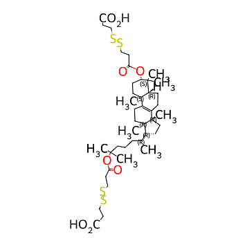 C[C@H](CCCC(C)(C)OC(=O)CCSSCCC(=O)O)[C@H]1CC[C@@]2(C)C3=C(CC[C@]12C)[C@@]1(C)CC[C@H](OC(=O)CCSSCCC(=O)O)C(C)(C)[C@@H]1CC3